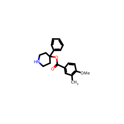 COc1ccc(C(=O)OC2(c3ccccc3)CCNCC2)cc1C